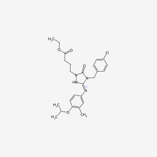 CCOC(=O)CCCn1[nH]/c(=N\c2ccc(OC(C)C)c(C)c2)n(Cc2ccc(Cl)cc2)c1=O